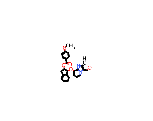 COc1ccc(C(=O)O[C@@H]2Cc3ccccc3[C@H]2Oc2cccn3c(C=O)c(C)nc23)cc1